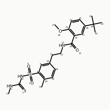 CNC(=S)NS(=O)(=O)c1cc(CCNC(=O)c2cc(C(C)(C)C)ccc2OC)ccc1C